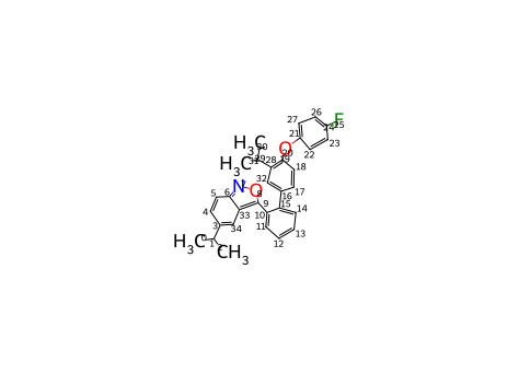 CC(C)c1ccc2noc(-c3ccccc3-c3ccc(Oc4ccc(F)cc4)c(C(C)C)c3)c2c1